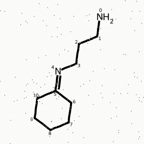 NCCCN=C1CCCCC1